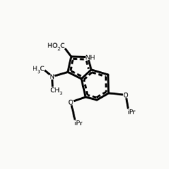 CC(C)Oc1cc(OC(C)C)c2c(N(C)C)c(C(=O)O)[nH]c2c1